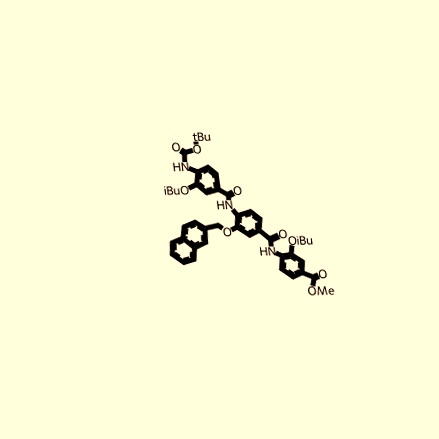 COC(=O)c1ccc(NC(=O)c2ccc(NC(=O)c3ccc(NC(=O)OC(C)(C)C)c(OCC(C)C)c3)c(OCc3ccc4ccccc4c3)c2)c(OCC(C)C)c1